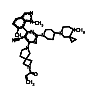 C=CC(=O)N1CC2(CCN(c3nc(N4CCC(N5CCN(C)C6(CC6)C5)CC4)nc(-c4c(C)ccc5cnn(C)c45)c3C#N)C2)C1